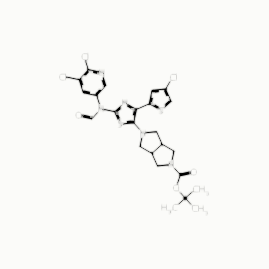 CC(C)(C)OC(=O)N1CC2CN(c3sc(N(C=O)c4cnc(Cl)c(Cl)c4)nc3-c3cc(Cl)cs3)CC2C1